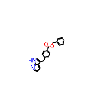 O=C(OCc1ccccc1)c1ccc(Cc2c[nH]c3ncccc23)cc1